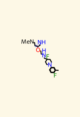 CNC/C=C(\C=N)OCCNCC1(F)CCN(c2ccc(F)c(C)c2)CC1